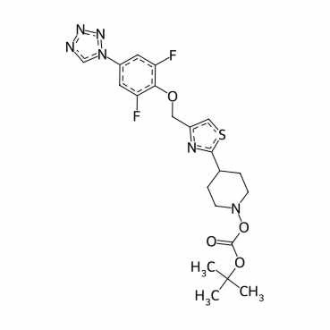 CC(C)(C)OC(=O)ON1CCC(c2nc(COc3c(F)cc(-n4cnnn4)cc3F)cs2)CC1